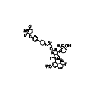 CCc1c(F)ccc2cc(O)cc(-c3ncc4c(N5CCC[C@@](C)(O)C5)nc(OCC5(CN6CCC(c7ccc(OC8CCC(=O)NC8=O)cc7)CC6)CC5)nc4c3F)c12